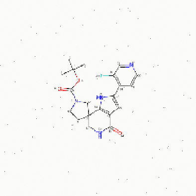 CC(C)(C)OC(=O)N1CCC2(CNC(=O)c3cc(-c4ccncc4F)[nH]c32)C1